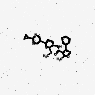 COc1nc(-c2cnc(C3CC3)nc2)ccc1NC(=O)c1c(-c2ccccc2)noc1C